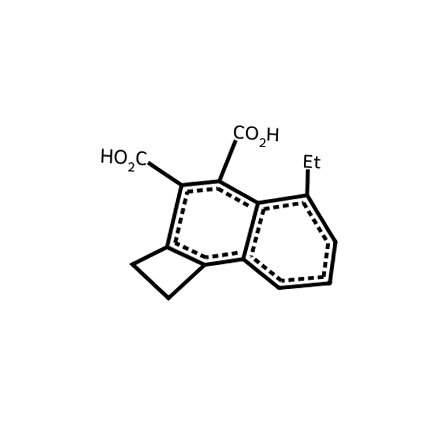 CCc1cccc2c3c(c(C(=O)O)c(C(=O)O)c12)CC3